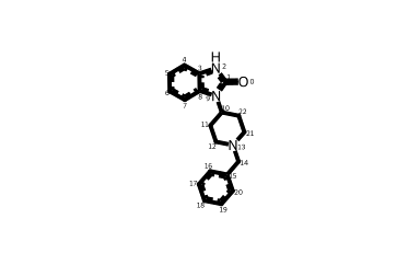 O=c1[nH]c2ccccc2n1C1CCN(Cc2ccccc2)CC1